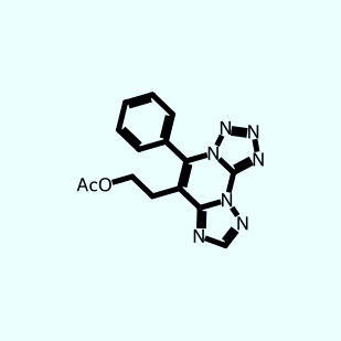 CC(=O)OCCc1c(-c2ccccc2)n2nnnc2n2ncnc12